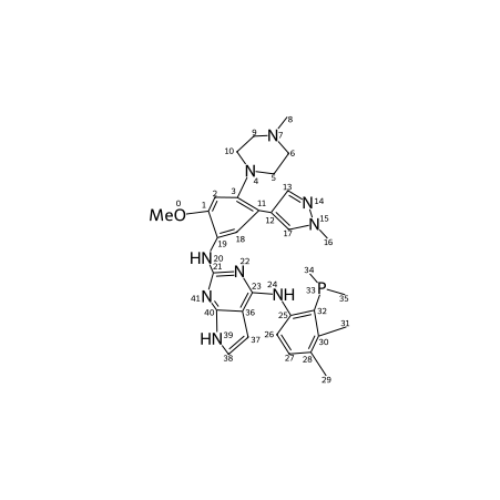 COc1cc(N2CCN(C)CC2)c(-c2cnn(C)c2)cc1Nc1nc(Nc2ccc(C)c(C)c2P(C)C)c2cc[nH]c2n1